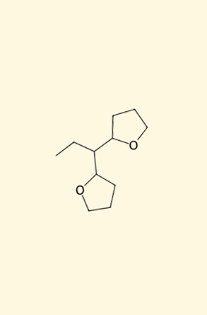 CCC(C1CCCO1)C1CCCO1